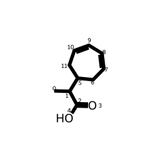 CC(C(=O)O)C1CC=CC=CC1